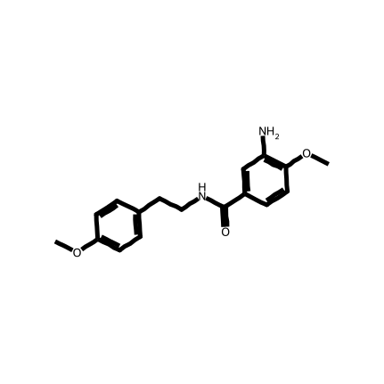 COc1ccc(CCNC(=O)c2ccc(OC)c(N)c2)cc1